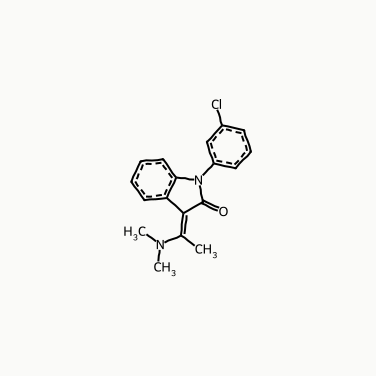 CC(=C1C(=O)N(c2cccc(Cl)c2)c2ccccc21)N(C)C